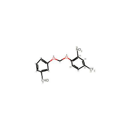 O=Cc1cccc(OCOc2ccc(C(F)(F)F)cc2[N+](=O)[O-])c1